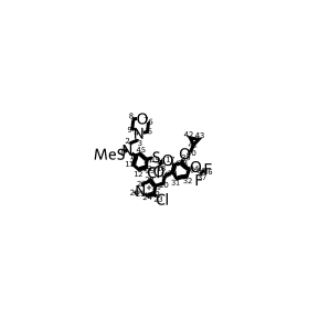 CSN(CCN1CCOCC1)c1cccc(SC(=O)OC(Cc2c(Cl)c[n+](C)cc2Cl)c2ccc(OC(F)F)c(OCC3CC3)c2)c1